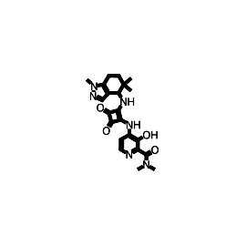 CN(C)C(=O)c1nccc(Nc2c(NC3c4cnn(C)c4CCC3(C)C)c(=O)c2=O)c1O